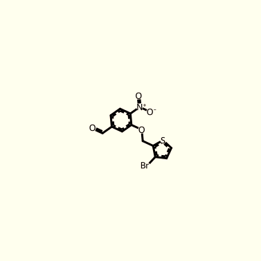 O=Cc1ccc([N+](=O)[O-])c(OCc2sccc2Br)c1